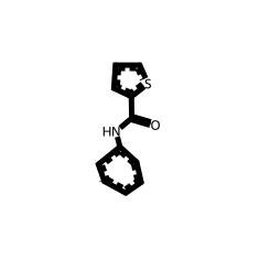 O=C(Nc1c[c]ccc1)c1cccs1